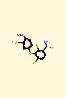 CC[C@@H](N)c1ccc(Cl)c(Oc2ccc(NC(C)=O)c(C)c2)c1F